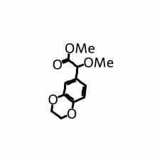 COC(=O)C(OC)c1ccc2c(c1)OCCO2